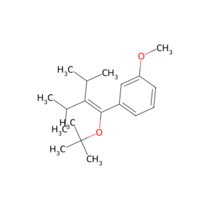 COc1cccc(C(OC(C)(C)C)=C(C(C)C)C(C)C)c1